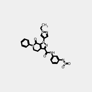 CCn1cc(-n2nc(C(=O)Nc3cccc(N=S(=O)=O)c3)c3c2C(=O)N(c2ccccc2)CC3)cn1